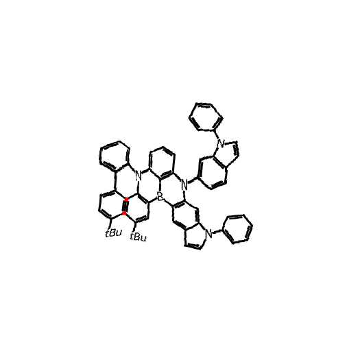 CC(C)(C)c1ccc(-c2ccccc2N2c3ccc(C(C)(C)C)cc3B3c4cc5ccn(-c6ccccc6)c5cc4N(c4ccc5ccn(-c6ccccc6)c5c4)c4cccc2c43)cc1